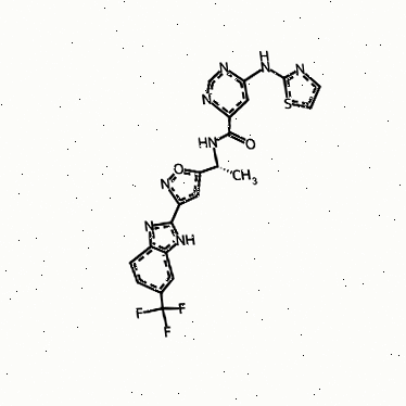 C[C@@H](NC(=O)c1cc(Nc2nccs2)ncn1)c1cc(-c2nc3ccc(C(F)(F)F)cc3[nH]2)no1